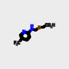 O=C(O)CSCNc1ccc(C(F)(F)F)cn1